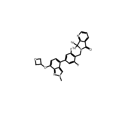 [2H]C1([2H])c2ncccc2C(=O)N1Cc1c(F)cc(-c2ccc(OC3COC3)c3nn(C)cc23)cc1F